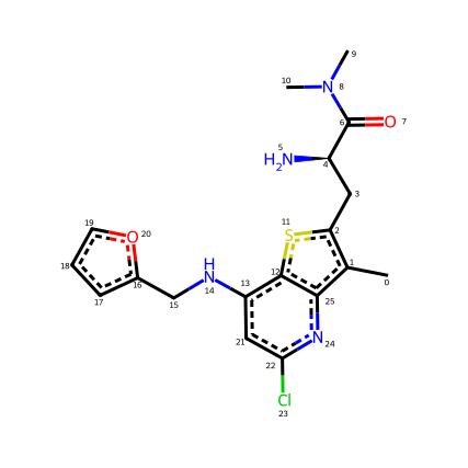 Cc1c(C[C@@H](N)C(=O)N(C)C)sc2c(NCc3ccco3)cc(Cl)nc12